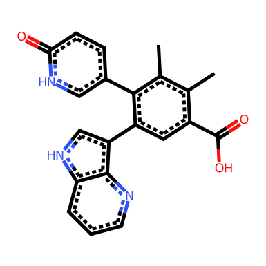 Cc1c(C(=O)O)cc(-c2c[nH]c3cccnc23)c(-c2ccc(=O)[nH]c2)c1C